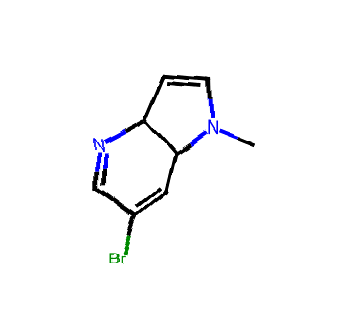 CN1C=CC2N=CC(Br)=CC21